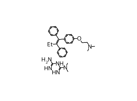 CC/C(=C(\c1ccccc1)c1ccc(OCCN(C)C)cc1)c1ccccc1.CN(C)C(=N)NC(=N)N